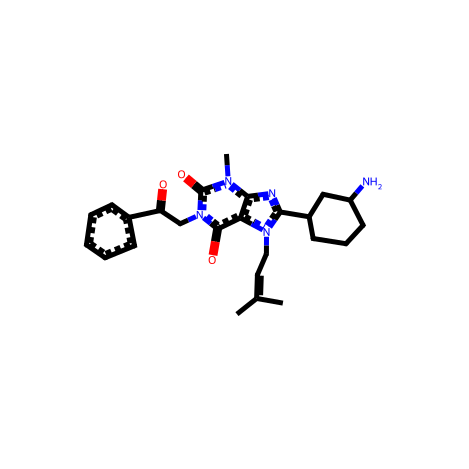 CC(C)=CCn1c(C2CCCC(N)C2)nc2c1c(=O)n(CC(=O)c1ccccc1)c(=O)n2C